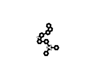 c1ccc(-c2nc(-c3ccccc3)nc(-c3cccc(-c4cccc5oc6ccc(-c7ccc8ccc9ccccc9c8c7)cc6c45)c3)n2)cc1